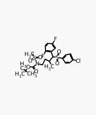 CC(CCN(C(=O)OC(C)(C)C)S(C)(=O)=O)C(c1cc(F)ccc1F)S(=O)(=O)c1ccc(Cl)cc1